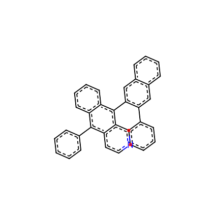 c1ccc(-c2cc3ccccc3cc2-c2c3ccccc3c(-c3ccccc3)c3ccncc23)cc1